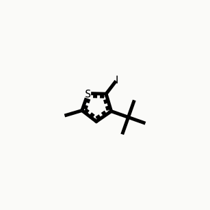 Cc1cc(C(C)(C)C)c(I)s1